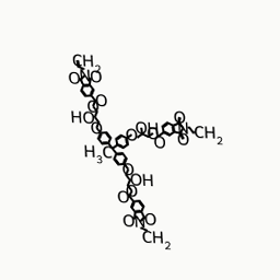 C=CCN1C(=O)c2ccc(C(=O)OCC(O)COc3ccc(C(C)(c4ccc(OCC(O)COC(=O)c5ccc6c(c5)C(=O)N(CC=C)C6=O)cc4)c4ccc(OCC(O)COC(=O)c5ccc6c(c5)C(=O)N(CC=C)C6=O)cc4)cc3)cc2C1=O